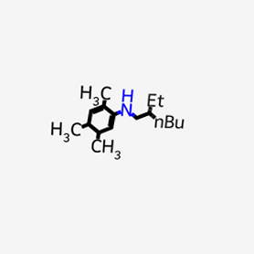 CCCCC(CC)CNC1=CC(C)C(C)C=C1C